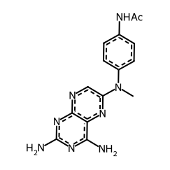 CC(=O)Nc1ccc(N(C)c2cnc3nc(N)nc(N)c3n2)cc1